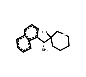 N[C@H](c1cccc2ccccc12)C1(O)CCCCCC1